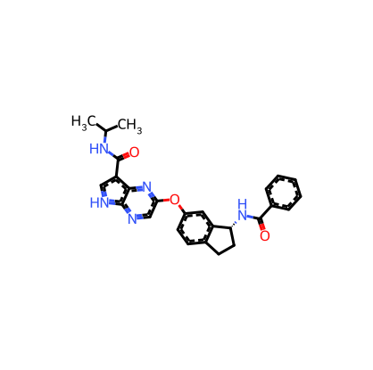 CC(C)NC(=O)c1c[nH]c2ncc(Oc3ccc4c(c3)[C@H](NC(=O)c3ccccc3)CC4)nc12